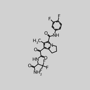 Cc1c(C(=O)C(=O)NC(C(N)=O)C(F)(F)F)c2n(c1C(=O)Nc1ccc(F)c(F)c1)CCC2